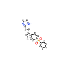 O=S(=O)(c1ccccc1)c1ccc2c(c1)CCC2CCC1=NCCN1